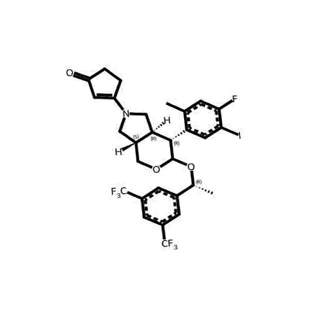 Cc1cc(F)c(I)cc1[C@@H]1C(O[C@H](C)c2cc(C(F)(F)F)cc(C(F)(F)F)c2)OC[C@@H]2CN(C3=CC(=O)CC3)C[C@H]21